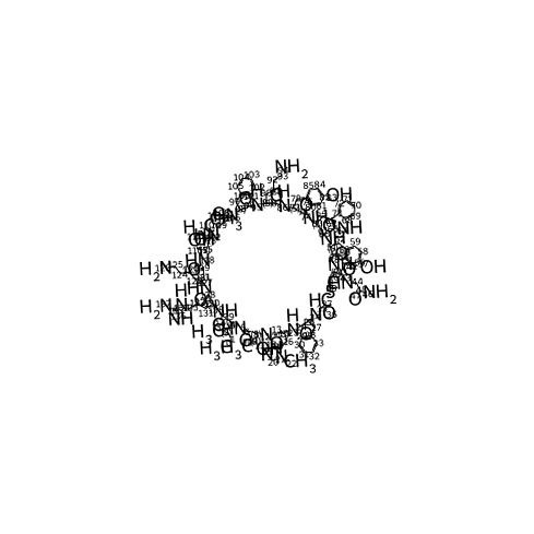 CC[C@H](C)[C@@H]1NC(=O)[C@H]([C@@H](C)O)NC(=O)[C@H](Cc2cncn2C)NC(=O)[C@H](Cc2ccccc2)NC(=O)CSC[C@@H](C(=O)NCC(N)=O)NC(=O)[C@H](Cc2ccc(O)cc2)NC(=O)[C@H](Cc2c[nH]c3ccccc23)NC(=O)[C@H](Cc2ccc(O)cc2)NC(=O)[C@H](CCCCN)NC(=O)[C@H](Cc2ccccc2)NC(=O)C(C)(C)NC(=O)[C@H](CO)NC(=O)[C@H](CCCCN)NC(=O)[C@H](CCCNC(=N)N)NC1=O